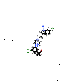 CC1(C)COc2c(N3CCN(CCc4c[nH]c5cc(Cl)ccc45)CC3)cc(Cl)cc21